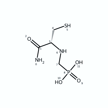 NC(=O)[C@H](CS)NCP(=O)(O)O